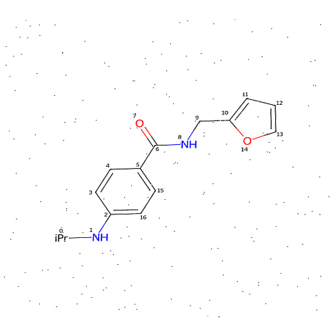 CC(C)Nc1ccc(C(=O)NCc2ccco2)cc1